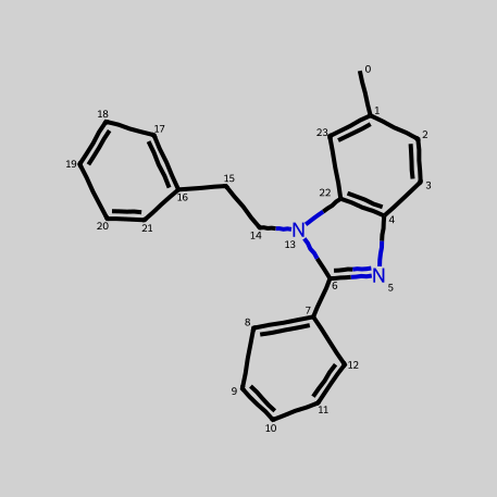 Cc1ccc2nc(-c3ccccc3)n(CCc3ccccc3)c2c1